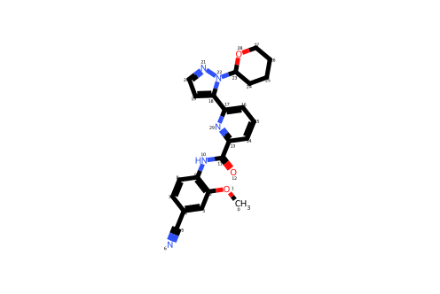 COc1cc(C#N)ccc1NC(=O)c1cccc(-c2ccnn2C2CCCCO2)n1